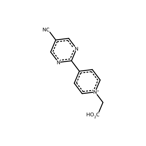 N#Cc1cnc(-c2cc[n+](CC(=O)O)cc2)nc1